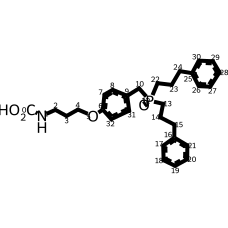 O=C(O)NCCCOc1ccc(CP(=O)(CCCc2ccccc2)CCCc2ccccc2)cc1